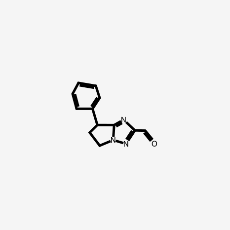 O=Cc1nc2n(n1)CCC2c1ccccc1